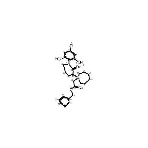 Cc1cc(Cl)cc(C)c1N1CCCC([N+]2(CC(=O)OCc3ccccc3)CCCCCC2)C1=O